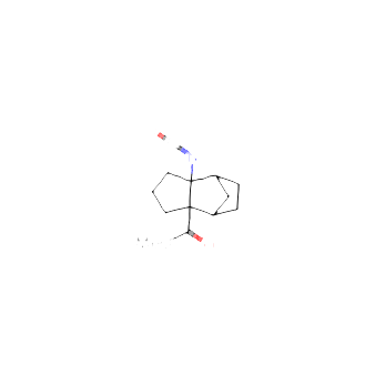 COC(=O)C12CCCC1(N=C=O)C1CCC2C1